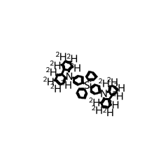 [2H]c1c([2H])c([2H])c2c(c1[2H])c1c([2H])c([2H])c([2H])c([2H])c1n2-c1ccc([Si](c2ccccc2)(c2ccccc2)c2ccc(-n3c4c([2H])c([2H])c([2H])c([2H])c4c4c([2H])c([2H])c([2H])c([2H])c43)cc2)cc1